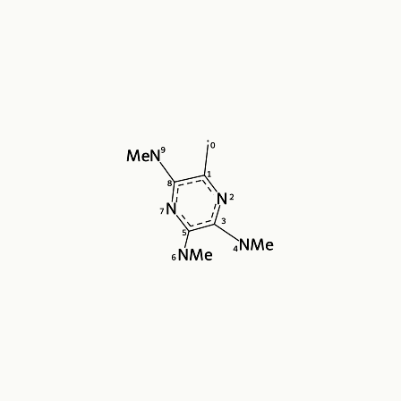 [CH2]c1nc(NC)c(NC)nc1NC